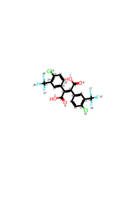 O=C(O)/C(=C(/C(=O)O)c1ccc(Cl)c(C(F)(F)F)c1)c1ccc(Cl)c(C(F)(F)F)c1